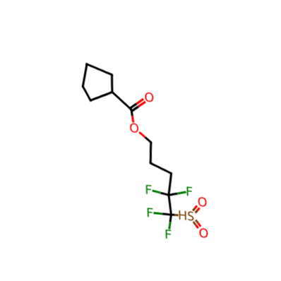 O=C(OCCCC(F)(F)C(F)(F)[SH](=O)=O)C1CCCC1